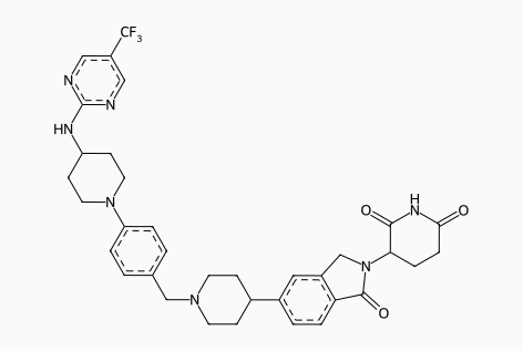 O=C1CCC(N2Cc3cc(C4CCN(Cc5ccc(N6CCC(Nc7ncc(C(F)(F)F)cn7)CC6)cc5)CC4)ccc3C2=O)C(=O)N1